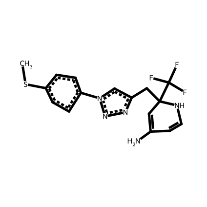 CSc1ccc(-n2cc(CC3(C(F)(F)F)C=C(N)C=CN3)nn2)cc1